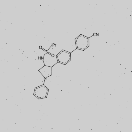 CC(C)S(=O)(=O)NC1CN(c2ccccc2)CC1c1ccc(-c2ccc(C#N)cc2)cc1